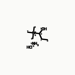 CCC(O)[N+](C)(C)C.Cl.N